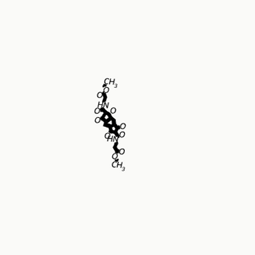 CCOC(=O)CCNC(=O)C1C(=O)c2cc3c(cc2C1=O)C(=O)C(C(=O)NCCC(=O)OCC)C3=O